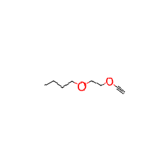 C#COCCOCCCC